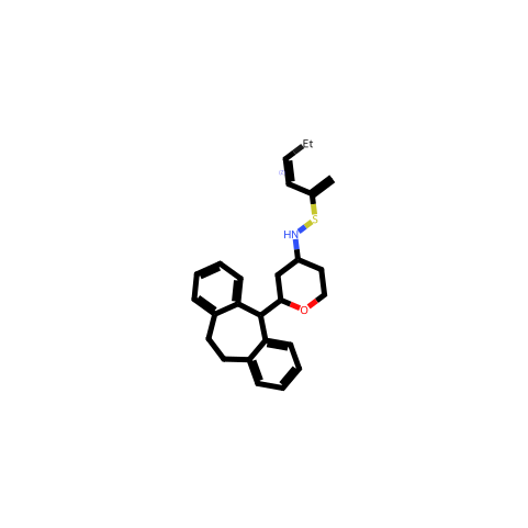 C=C(/C=C\CC)SNC1CCOC(C2c3ccccc3CCc3ccccc32)C1